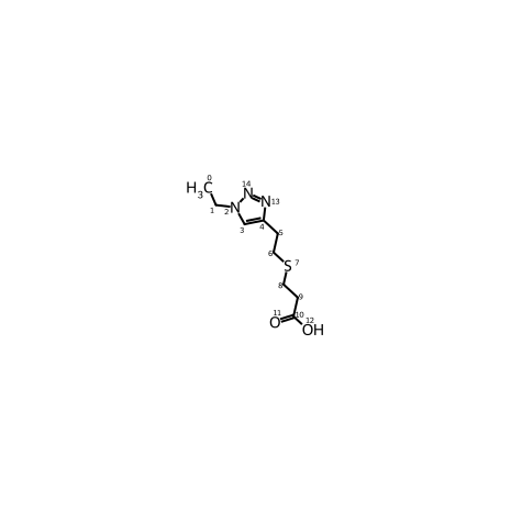 CCn1cc(CCSCCC(=O)O)nn1